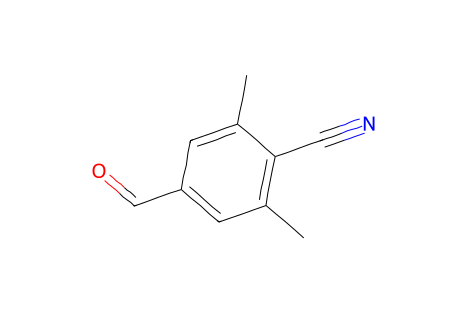 Cc1cc(C=O)cc(C)c1C#N